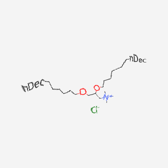 CCCCCCCCCCCCCCCCOCC(C[N+](C)(C)C)OCCCCCCCCCCCCCCCC.[Cl-]